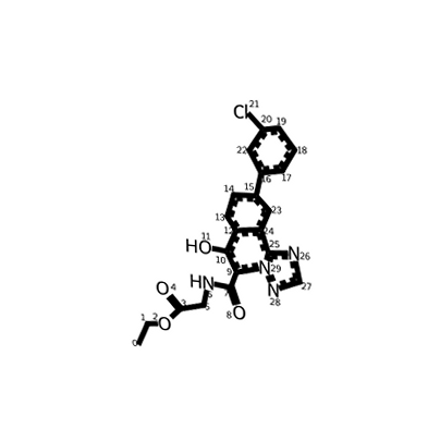 CCOC(=O)CNC(=O)c1c(O)c2ccc(-c3cccc(Cl)c3)cc2c2ncnn12